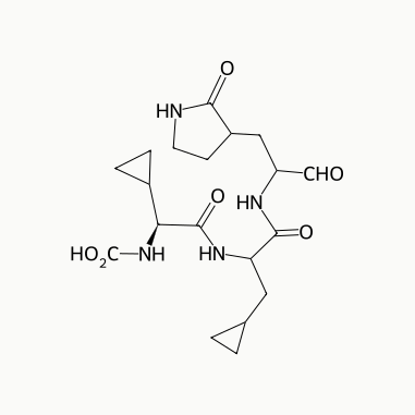 O=CC(CC1CCNC1=O)NC(=O)C(CC1CC1)NC(=O)[C@@H](NC(=O)O)C1CC1